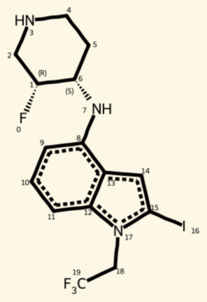 F[C@@H]1CNCC[C@@H]1Nc1cccc2c1cc(I)n2CC(F)(F)F